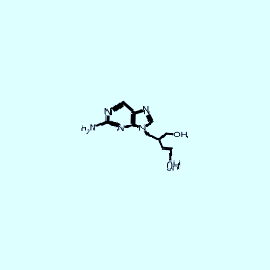 Nc1ncc2ncn(CC(CO)CCO)c2n1